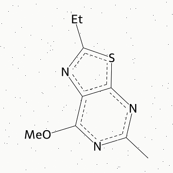 CCc1nc2c(OC)nc(C)nc2s1